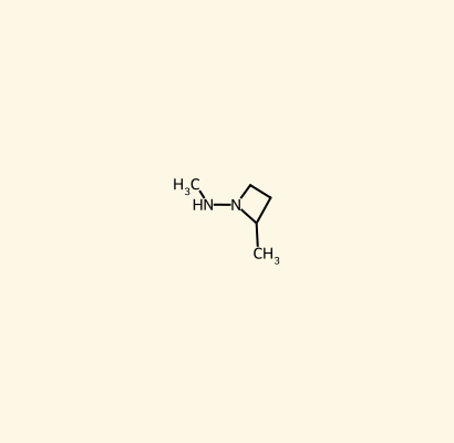 CNN1CCC1C